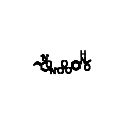 C\C=C(/C=C\C=N\COC(=O)Oc1ccc(NC(C)=O)cc1)C(=O)N(C)C